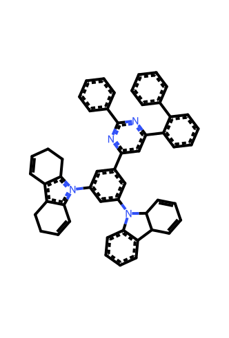 C1=CC2c3ccccc3N(c3cc(-c4cc(-c5ccccc5-c5ccccc5)nc(-c5ccccc5)n4)cc(-n4c5c(c6c4CCC=C6)CCC=C5)c3)C2C=C1